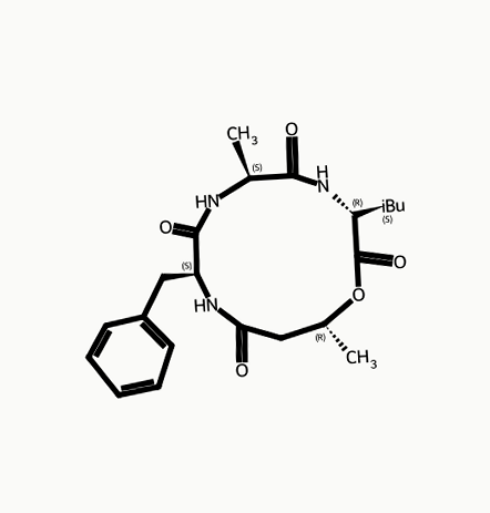 CC[C@H](C)[C@H]1NC(=O)[C@H](C)NC(=O)[C@H](Cc2ccccc2)NC(=O)C[C@@H](C)OC1=O